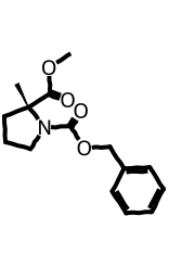 COC(=O)[C@@]1(C)CCCN1C(=O)OCc1ccccc1